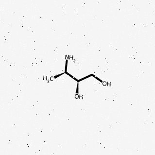 C[C@@H](N)[C@H](O)CO